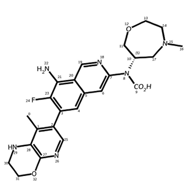 Cc1c(-c2cc3cc(N(C(=O)O)[C@@H]4COCCN(C)C4)ncc3c(N)c2F)cnc2c1NCCO2